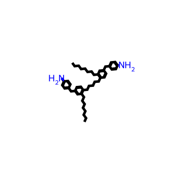 CCCCCCCCc1cc(Cc2ccc(N)cc2)ccc1CCCCCc1ccc(Cc2ccc(N)cc2)cc1CCCCCCCC